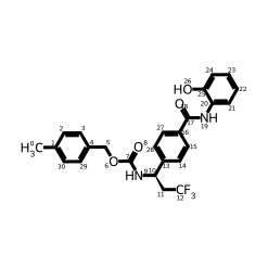 Cc1ccc(COC(=O)N[C@H](CC(F)(F)F)c2ccc(C(=O)Nc3ccccc3O)cc2)cc1